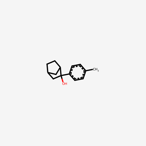 Cc1ccc(C2(O)CC3CCC2C3)cc1